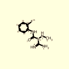 CNN(C(=N)N)C(=O)Nc1ccccc1F